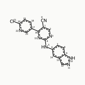 N#Cc1cnc(Nc2ccc3[nH]ncc3c2)nc1-c1ccc(Cl)nc1